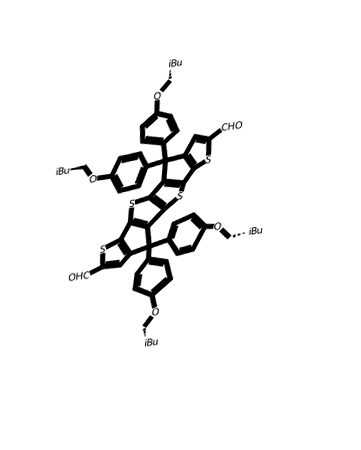 CC[C@@H](C)COc1ccc(C2(c3ccc(OC[C@H](C)CC)cc3)c3cc(C=O)sc3-c3sc4c5c(sc4c32)-c2sc(C=O)cc2C5(c2ccc(OC[C@@H](C)CC)cc2)c2ccc(OC[C@@H](C)CC)cc2)cc1